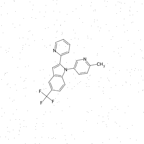 Cc1ccc(-n2c(-c3ccccn3)cc3cc(C(F)(F)F)ccc32)cn1